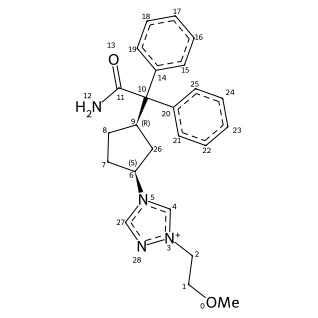 COCC[n+]1cn([C@H]2CC[C@@H](C(C(N)=O)(c3ccccc3)c3ccccc3)C2)cn1